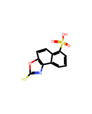 O=S(=O)(O)c1cccc2c1ccc1oc(S)nc12